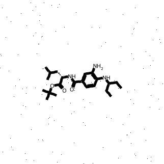 CCC(CC)Nc1ccc(C(=O)N[C@@H](CC(C)C)C(=O)OC(C)(C)C)cc1N